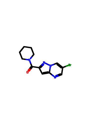 O=C(c1cc2ncc(Br)cn2n1)N1CCCCC1